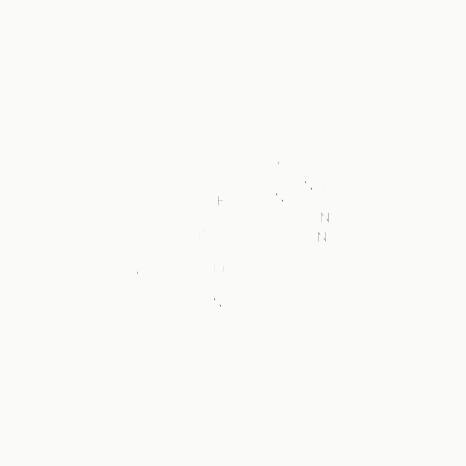 N#Cc1cc(Cl)cc(Oc2c(Br)ccc(Cn3c(=O)[nH]c4nnccc43)c2F)c1